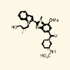 COc1cc(C(=O)N2CCC[C@@H](NC(=O)O)C2)cc2nc(-c3cc4ccccc4n3C[C@H](C)CO)n(C)c12